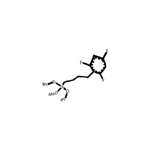 CO[Si](CCCCc1c(F)cc(F)cc1F)(OC(C)C)OC(C)C